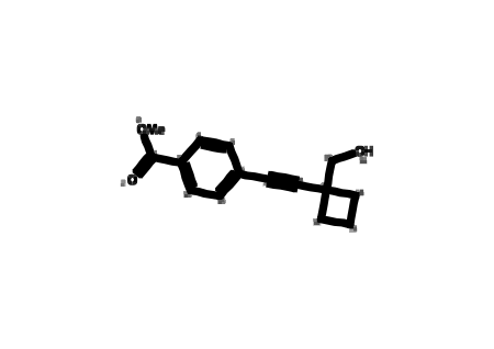 COC(=O)c1ccc(C#CC2(CO)CCC2)cc1